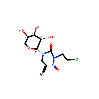 C=CCN(C(=O)N(CCCl)N=O)[C@@H]1OC[C@@H](O)[C@@H](O)[C@@H]1O